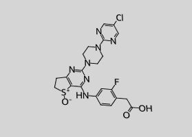 O=C(O)Cc1ccc(Nc2nc(N3CCN(c4ncc(Cl)cn4)CC3)nc3c2[S+]([O-])CC3)cc1F